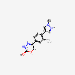 CCn1cc(-c2ccc(C3=NNC(=O)OC3)cc2C(F)(F)F)cn1